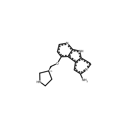 Nc1cc2c(cn1)[nH]c1nccc(OC[C@H]3CCNC3)c12